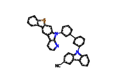 N#Cc1ccc2c(c1)c1ccccc1n2-c1cccc(-c2cccc(-n3c4cc5sc6ccccc6c5cc4c4cccnc43)c2)c1